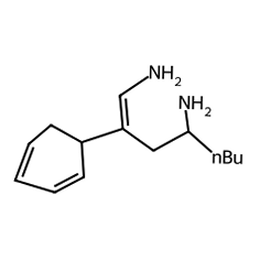 CCCCC(N)CC(=CN)C1C=CC=CC1